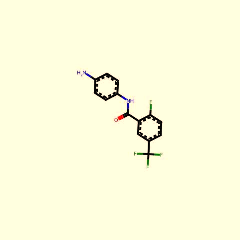 Nc1ccc(NC(=O)c2cc(C(F)(F)F)ccc2F)cc1